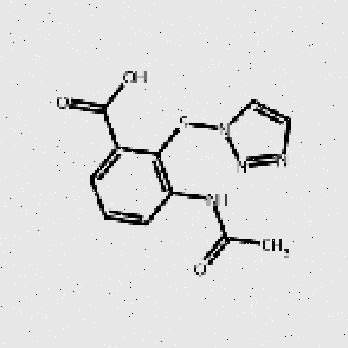 CC(=O)Nc1cccc(C(=O)O)c1Sn1ccnn1